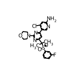 CC(C)(c1cc(-c2cnc(N)cc2Cl)nc(N2CCOCC2)n1)S(=O)(=O)c1cccc(F)c1